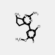 COc1cc(-c2nc(N)nc3c2CCC3C)c(Cl)cc1F